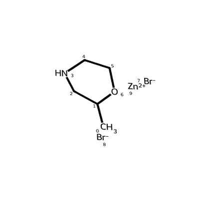 CC1CNCCO1.[Br-].[Br-].[Zn+2]